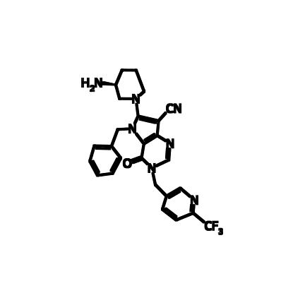 N#Cc1c(N2CCC[C@H](N)C2)n(Cc2ccccc2)c2c(=O)n(Cc3ccc(C(F)(F)F)nc3)cnc12